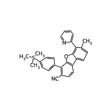 Cc1ccc2c(oc3c(-c4ccc(S(C)(C)C)cc4)c(C#N)ccc32)c1-c1ccccn1